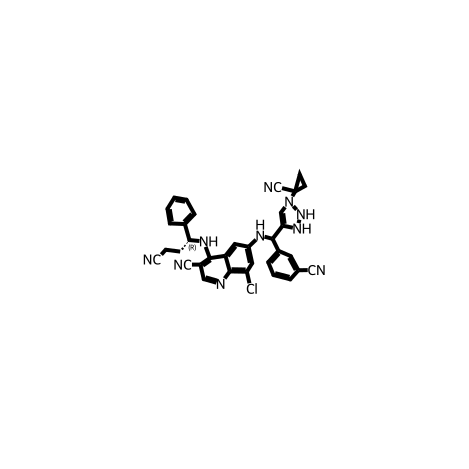 N#CCC[C@@H](Nc1c(C#N)cnc2c(Cl)cc(NC(C3=CN(C4(C#N)CC4)NN3)c3cccc(C#N)c3)cc12)c1ccccc1